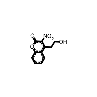 O=c1oc2ccccc2c(CCO)c1[N+](=O)[O-]